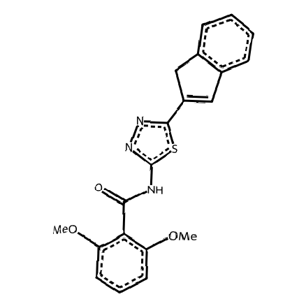 COc1cccc(OC)c1C(=O)Nc1nnc(C2=Cc3ccccc3C2)s1